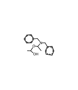 CC(O)OC(C)N(Cc1ccccc1)Cc1ccccc1